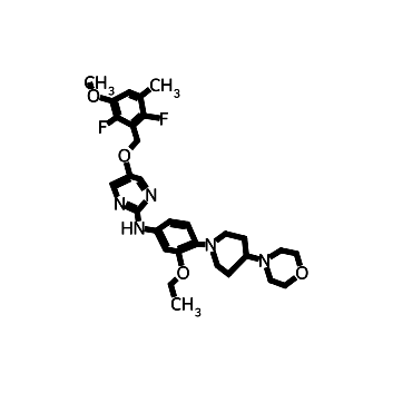 CCOc1cc(Nc2ncc(OCc3c(F)c(C)cc(OC)c3F)cn2)ccc1N1CCC(N2CCOCC2)CC1